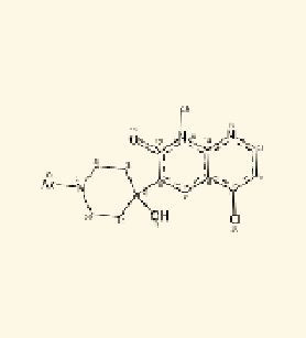 CC(=O)N1CCC(O)(c2cc3c(Cl)ccnc3n(C)c2=O)CC1